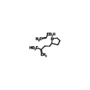 C=C(CCC1CCCO1)C(=O)O.C=CC(=O)O